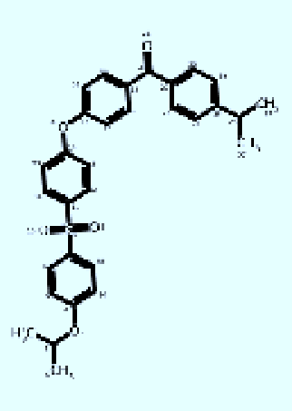 CC(C)Oc1ccc(S(=O)(=O)c2ccc(Oc3ccc(C(=O)c4ccc(C(C)C)cc4)cc3)cc2)cc1